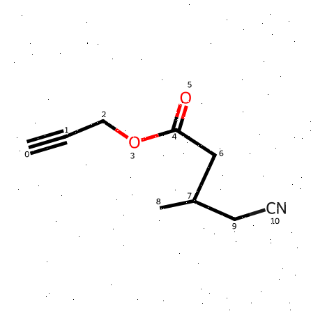 C#CCOC(=O)CC(C)CC#N